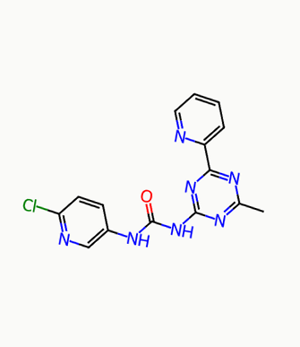 Cc1nc(NC(=O)Nc2ccc(Cl)nc2)nc(-c2ccccn2)n1